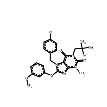 CCCC(C)(O)Cn1c(=O)c2c(nc(Oc3cccc(OC(F)(F)F)c3)n2Cc2ccc(Cl)cc2)n(C)c1=O